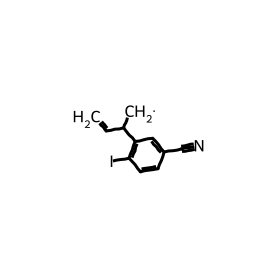 [CH2]C(C=C)c1cc(C#N)ccc1I